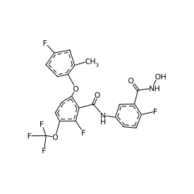 Cc1cc(F)ccc1Oc1ccc(OC(F)(F)F)c(F)c1C(=O)Nc1ccc(F)c(C(=O)NO)c1